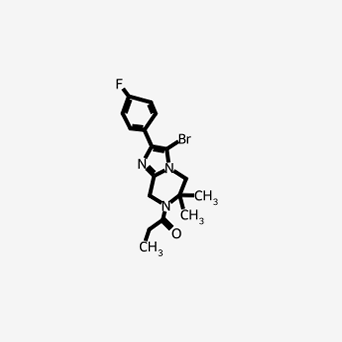 CCC(=O)N1Cc2nc(-c3ccc(F)cc3)c(Br)n2CC1(C)C